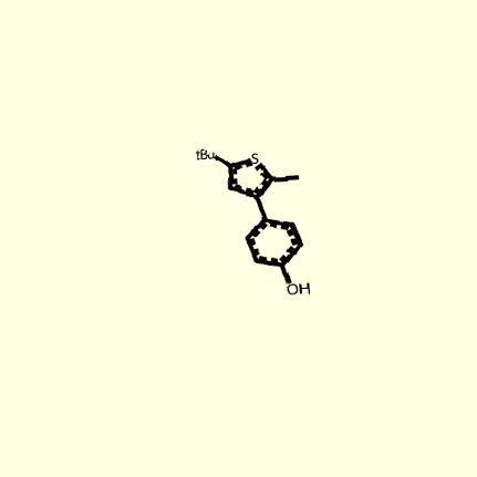 Cc1sc(C(C)(C)C)cc1-c1ccc(O)cc1